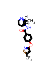 C[C@H]1[C@H](NC(=O)c2ccc(Oc3cc(C(F)(F)F)sn3)cc2)C2CCN1CC2